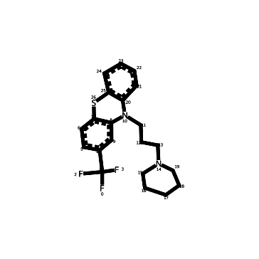 FC(F)(F)c1ccc2c(c1)N(CCCN1CCCCC1)c1ccccc1S2